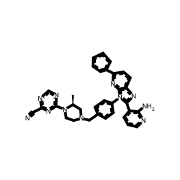 C[C@H]1CN(Cc2ccc(-n3c(-c4cccnc4N)nc4ccc(-c5ccccc5)nc43)cc2)CCN1c1ncnc(C#N)n1